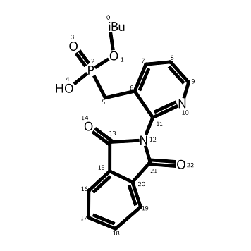 CCC(C)OP(=O)(O)Cc1cccnc1N1C(=O)c2ccccc2C1=O